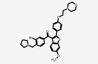 COc1ccc2c(C(=O)c3ccc(CN4CCCC4)c(Br)c3)c(-c3ccc(OCCN4CCOCC4)cc3)sc2c1